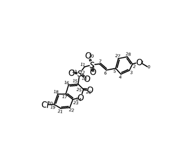 COc1ccc(C=CS(=O)(=O)CS(=O)(=O)c2cc3cc(Cl)ccc3oc2=O)cc1